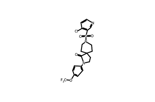 O=C1N(c2ccc(OC(F)(F)F)cc2)CCC12CCN(S(=O)(=O)c1cnccc1Cl)CC2